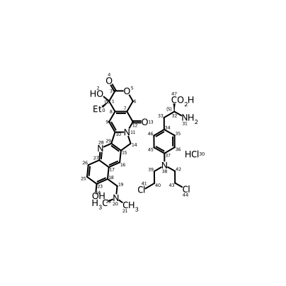 CC[C@@]1(O)C(=O)OCc2c1cc1n(c2=O)Cc2cc3c(CN(C)C)c(O)ccc3nc2-1.Cl.N[C@@H](Cc1ccc(N(CCCl)CCCl)cc1)C(=O)O